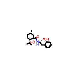 CC(C)[C@@H]1CC[C@@H](C)C[C@@]1(O)C(=O)N[C@H](CO)Cc1ccccc1